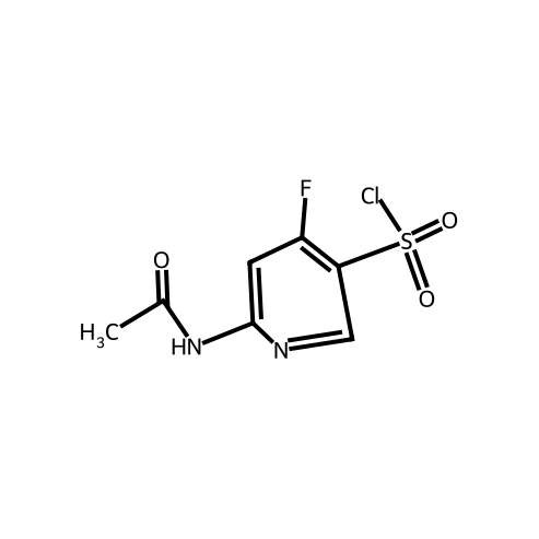 CC(=O)Nc1cc(F)c(S(=O)(=O)Cl)cn1